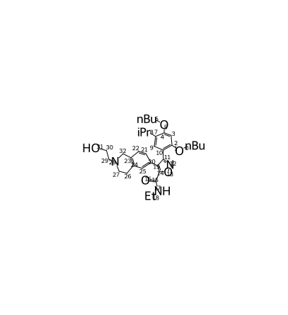 CCCCOc1cc(OCCCC)c(C(C)C)cc1-c1noc(C(=O)NCC)c1-c1ccc2c(c1)CCN(CCO)C2